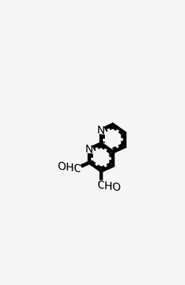 O=Cc1cc2cccnc2nc1C=O